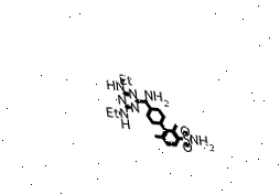 CCNc1nc(NCC)nc(C(N)C2CCC(c3c(C)ccc(S(N)(=O)=O)c3C)CC2)n1